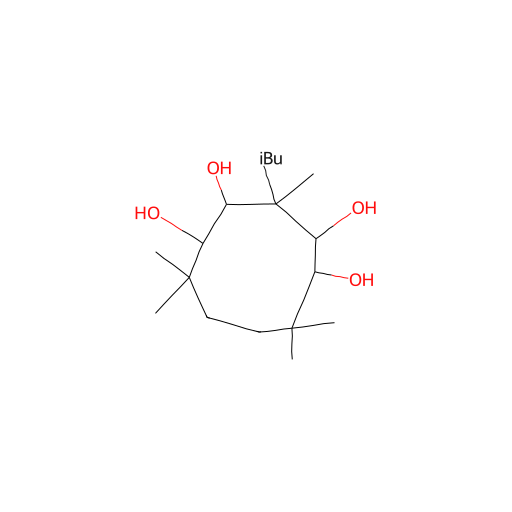 CCC(C)C1(C)C(O)C(O)C(C)(C)CCC(C)(C)C(O)C1O